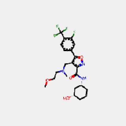 COCCN(C)Cc1c(C(=O)N[C@@H]2CCC[C@H](O)C2)noc1-c1ccc(C(F)(F)F)c(F)c1